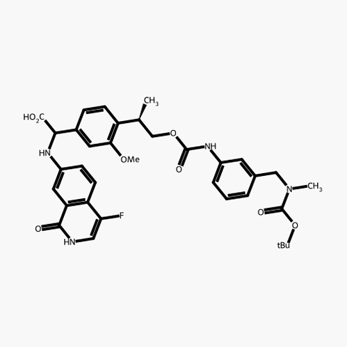 COc1cc(C(Nc2ccc3c(F)c[nH]c(=O)c3c2)C(=O)O)ccc1[C@@H](C)COC(=O)Nc1cccc(CN(C)C(=O)OC(C)(C)C)c1